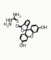 NNC(N)=S.O=C1OC2(c3ccc(O)cc3Oc3cc(O)ccc32)c2ccccc21